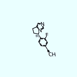 C#Cc1ccc([C@H]2CCc3cncn32)c(F)c1